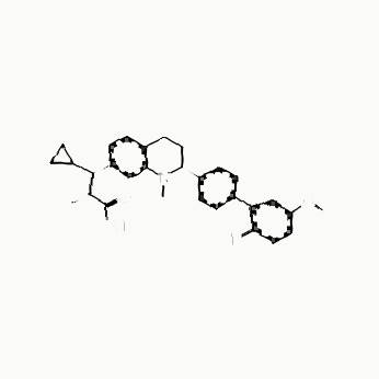 COc1ccc(F)c(-c2ccc([C@@H]3CCc4ccc([C@H](C5CC5)[C@H](C)C(=O)O)cc4N3C)cc2)c1